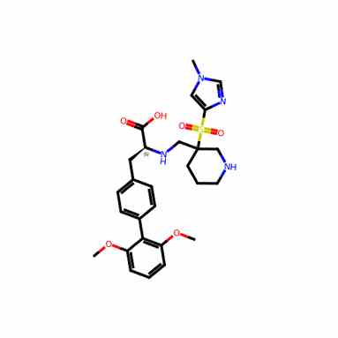 COc1cccc(OC)c1-c1ccc(C[C@H](NCC2(S(=O)(=O)c3cn(C)cn3)CCCNC2)C(=O)O)cc1